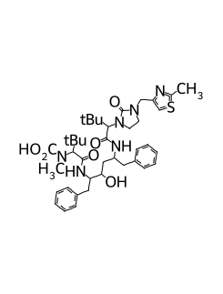 Cc1nc(CN2CCN(C(C(=O)NC(Cc3ccccc3)CC(O)C(Cc3ccccc3)NC(=O)C(N(C)C(=O)O)C(C)(C)C)C(C)(C)C)C2=O)cs1